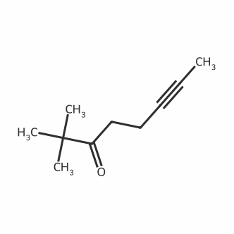 CC#CCCC(=O)C(C)(C)C